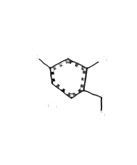 Cl.ClCc1ccc(Cl)cc1Cl